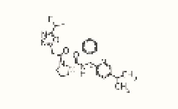 CC(C)c1ccc([C@@H](NC(=O)[C@@H]2CCCN2C(=O)Cc2nnc(C(F)F)o2)c2ccccc2)nc1